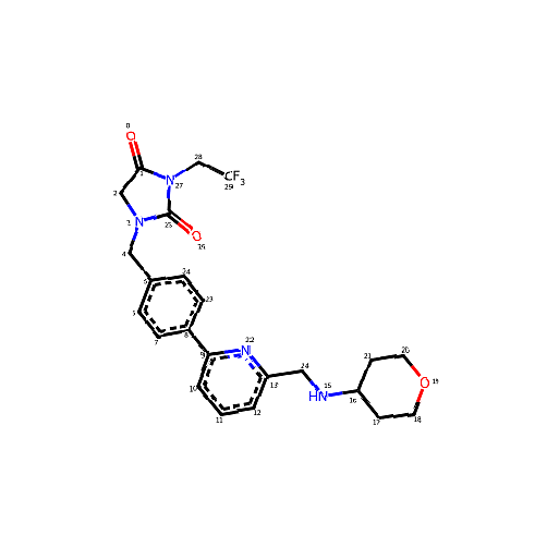 O=C1CN(Cc2ccc(-c3cccc(CNC4CCOCC4)n3)cc2)C(=O)N1CC(F)(F)F